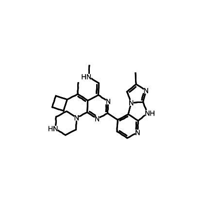 CN/C=c1/nc(-c2ccnc3[nH]c4nc(C)cn4c23)nc(N2CCNCC2)/c1=C(/C)C1CCC1